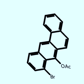 CC(=O)Oc1c2ccc3ccccc3c2cc2cccc(Br)c12